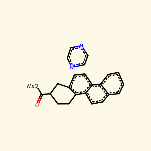 COC(=O)C1CCc2c(ccc3c2ccc2ccccc23)C1.c1cnccn1